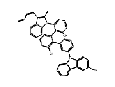 C=C/C=C\c1c(C)n(-c2cccc(C#N)c2C2=CCCC(C#N)=C2c2cccc(-n3c4ccccc4c4cc(C#N)ccc43)c2)c2ccccc12